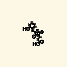 O=C(O)CCN1C(=O)/C(=C/c2ccccc2O)SC1=S